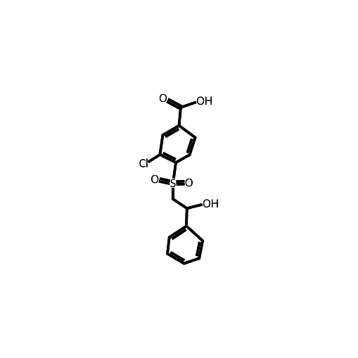 O=C(O)c1ccc(S(=O)(=O)CC(O)c2ccccc2)c(Cl)c1